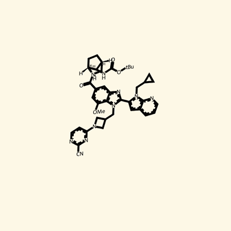 COc1cc(C(=O)N2C[C@H]3CC[C@@H]2[C@@H]3NC(=O)OC(C)(C)C)cc2nc(-c3cc4cccnc4n3CC3CC3)n(CC3CN(c4ccnc(C#N)n4)C3)c12